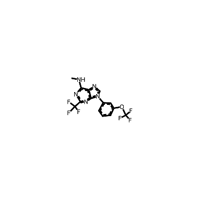 CNc1nc(C(F)(F)F)nc2c1ncn2-c1cccc(OC(F)(F)F)c1